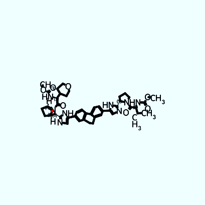 COC(=O)N[C@H](C(=O)N1CCC[C@H]1c1ncc(-c2ccc3c(c2)CCc2cc(-c4cnc([C@@H]5[C@H]6CC[C@H](C6)N5C(=O)[C@@H](NC(=O)OC)C5CCOCC5)[nH]4)ccc2-3)[nH]1)C(C)C